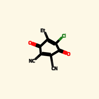 CCC1=C(Cl)C(=O)C(C#N)=C(C#N)C1=O